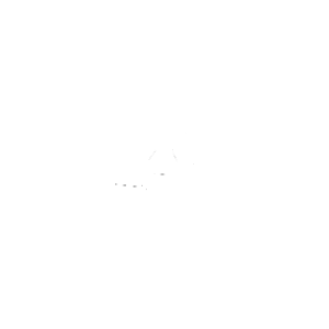 O=C=Nc1ccc(Cl)c(SC(F)F)c1Cl